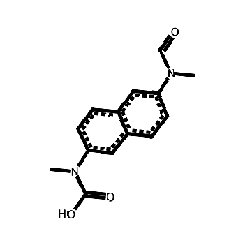 CN(C=O)c1ccc2cc(N(C)C(=O)O)ccc2c1